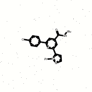 CC(C)n1nccc1-c1cc(C(=O)NC(C)(C)C)cc(-c2ccc(Cl)cc2)n1